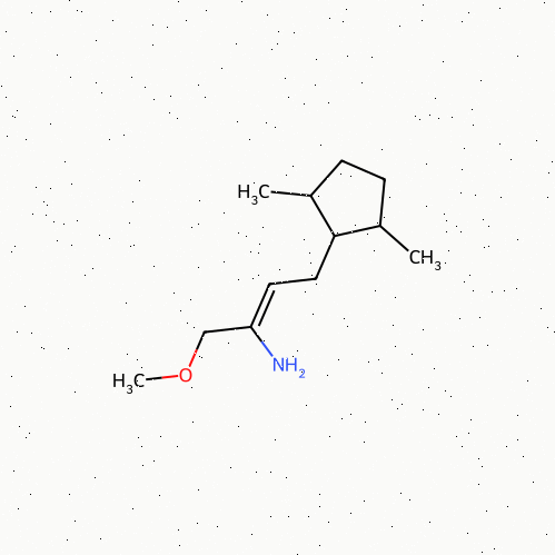 COCC(N)=CCC1C(C)CCC1C